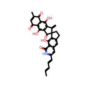 C=C1c2c(O)c3c(c(O)c2C(=O)C12CCc1cc4cc(/C=C/C=C/C)[nH]c(=O)c4c(O)c12)C(=O)C=C(C)C3=O